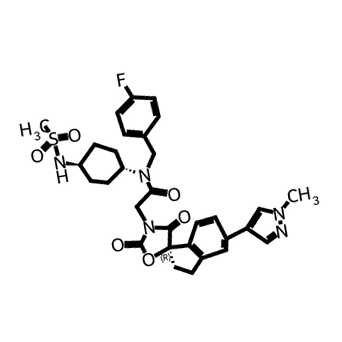 Cn1cc(-c2ccc3c(c2)CC[C@@]32OC(=O)N(CC(=O)N(Cc3ccc(F)cc3)[C@H]3CC[C@H](NS(C)(=O)=O)CC3)C2=O)cn1